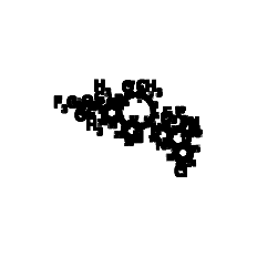 C[C@@H]1CCC[C@H](n2cnc(-c3cc(Cl)ccc3-n3cc(C(F)(F)F)nn3)cc2=O)c2cc(ccn2)-c2ccc(C(C)(C)OC(=O)C(F)(F)F)cc2NC1=O